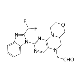 O=CCN1CC2COCCN2c2nc(-n3c(C(F)F)nc4ccccc43)ncc21